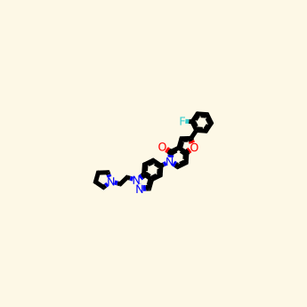 O=c1c2cc(-c3ccccc3F)oc2ccn1-c1ccc2c(cnn2CCN2CCCC2)c1